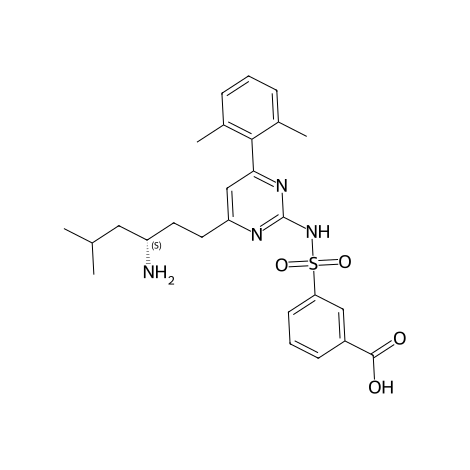 Cc1cccc(C)c1-c1cc(CC[C@H](N)CC(C)C)nc(NS(=O)(=O)c2cccc(C(=O)O)c2)n1